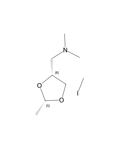 CI.C[C@H]1OC[C@@H](CN(C)C)O1